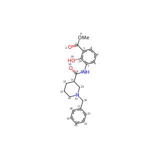 COC(=O)c1cccc(NC(=O)C2CCCN(Cc3ccccc3)C2)c1O